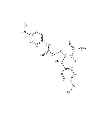 CCCOc1ccc(C2=NN(C(=O)Nc3ccc(OC(F)(F)F)cc3)CC2N(C)C(=O)OC)cc1